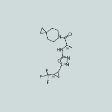 C[C@@H](Nc1nnc(C2C[C@H]2C(F)(F)F)o1)C(=O)N1CCC2(CC1)CC2